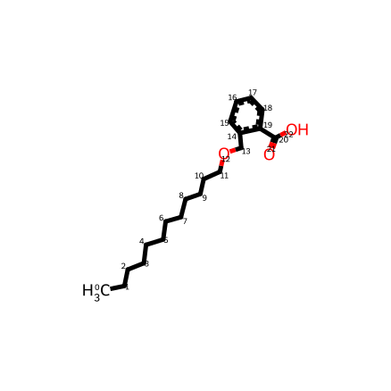 CCCCCCCCCCCCOCc1ccccc1C(=O)O